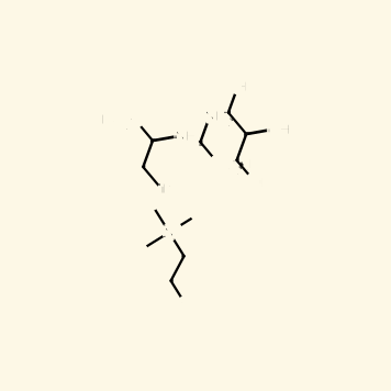 CC(C)CC(N)C(=O)O.C[N+](C)(C)CCO.NCC(=O)O.OCC(O)CO